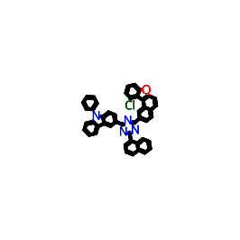 Clc1cccc2oc3ccc4ccc(-c5nc(-c6ccc7c(c6)c6ccccc6n7-c6ccccc6)nc(-c6cccc7ccccc67)n5)cc4c3c12